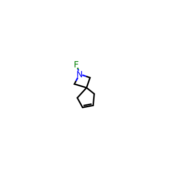 FN1CC2(CC=CC2)C1